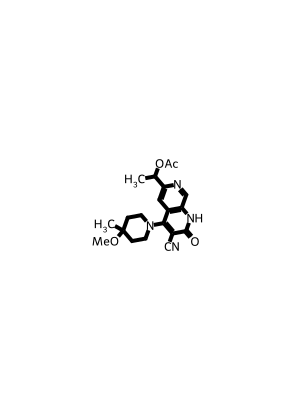 COC1(C)CCN(c2c(C#N)c(=O)[nH]c3cnc(C(C)OC(C)=O)cc23)CC1